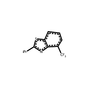 CC(C)c1nc2c(C(F)(F)F)cccc2s1